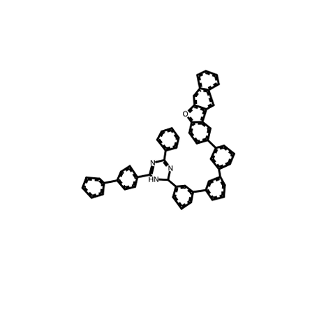 c1ccc(C2=NC(c3cccc(-c4cccc(-c5cccc(-c6ccc7oc8cc9ccccc9cc8c7c6)c5)c4)c3)NC(c3ccc(-c4ccccc4)cc3)=N2)cc1